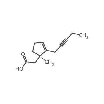 CCC#CCC1=CCC[C@]1(C)CC(=O)O